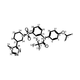 CC(C)Oc1ccc(N(C(=O)C(F)(F)F)c2cccc(S(=O)(=O)N3CCCC(c4nncn4C)C3)c2)cc1